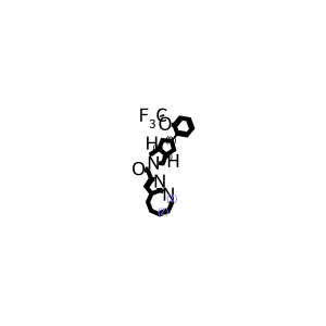 O=C(C1=CC2CC/C=C\C=N/C2=N1)N1C[C@H]2C[C@@H](c3ccccc3OC(F)(F)F)C[C@H]2C1